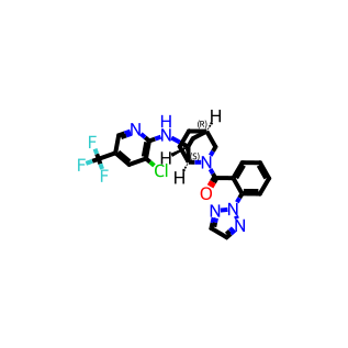 O=C(c1ccccc1-n1nccn1)N1C[C@@H]2CC[C@H]1[C@H](Nc1ncc(C(F)(F)F)cc1Cl)C2